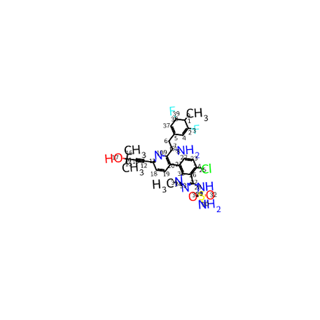 CC1C(F)=CC(C[C@H](N)c2nc(C#CC(C)(C)O)ccc2-c2ccc(Cl)c3c(NS(N)(=O)=O)nn(C)c23)=CC1F